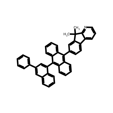 CC1(C)c2cc(-c3c4ccccc4c(-c4cc(-c5ccccc5)cc5ccccc45)c4ccccc34)ccc2-c2cccnc21